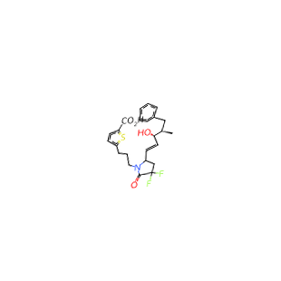 C[C@H](Cc1ccccc1)[C@H](O)C=CC1CC(F)(F)C(=O)N1CCCc1ccc(C(=O)O)s1